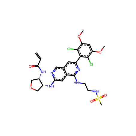 C=CC(=O)N[C@H]1COC[C@H]1Nc1cc2c(NCCNS(C)(=O)=O)nc(-c3c(Cl)c(OC)cc(OC)c3Cl)cc2cn1